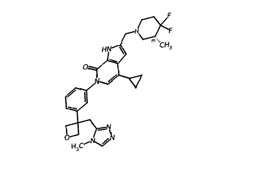 C[C@@H]1CN(Cc2cc3c(C4CC4)cn(-c4cccc(C5(Cc6nncn6C)COC5)c4)c(=O)c3[nH]2)CCC1(F)F